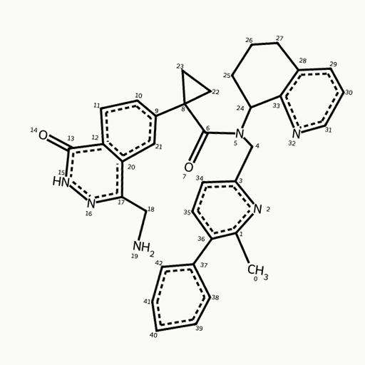 Cc1nc(CN(C(=O)C2(c3ccc4c(=O)[nH]nc(CN)c4c3)CC2)C2CCCc3cccnc32)ccc1-c1ccccc1